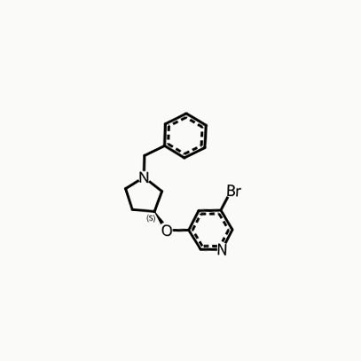 Brc1cncc(O[C@H]2CCN(Cc3ccccc3)C2)c1